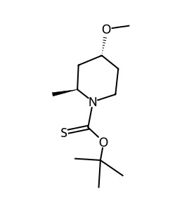 CO[C@@H]1CCN(C(=S)OC(C)(C)C)[C@@H](C)C1